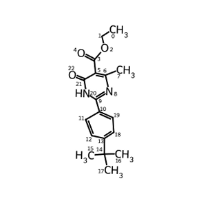 CCOC(=O)c1c(C)nc(-c2ccc(C(C)(C)C)cc2)[nH]c1=O